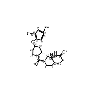 O=C1COC2CCN(C(=O)N3CCC(Oc4ccc(F)cc4Cl)CC3)C[C@@H]2N1